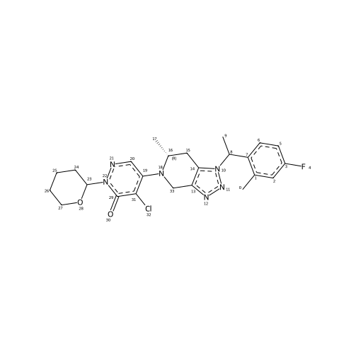 Cc1cc(F)ccc1C(C)n1nnc2c1C[C@@H](C)N(c1cnn(C3CCCCO3)c(=O)c1Cl)C2